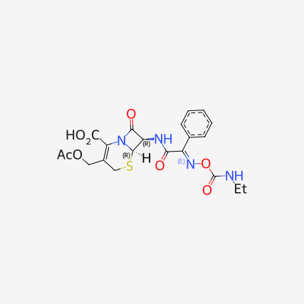 CCNC(=O)O/N=C(/C(=O)N[C@@H]1C(=O)N2C(C(=O)O)=C(COC(C)=O)CS[C@H]12)c1ccccc1